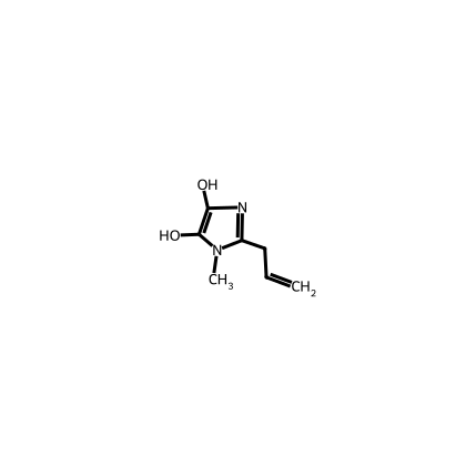 C=CCc1nc(O)c(O)n1C